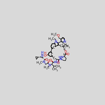 CCn1c(-c2cnccc2COC)c2c3cc(ccc31)-c1cc(O)cc(c1)C[C@H](NC(=O)C(C(C)C)N(C)C(=O)CN(C)C(=O)[C@H]1N[C@@H]1C1CC1)C(=O)N1CCC[C@H](N1)C(=O)OCC(C)(C)C2